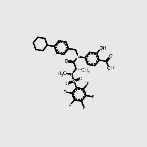 C[C@@H](C(=O)N(Cc1ccc(C2CCCCC2)cc1)c1ccc(C(=O)O)c(O)c1)N(C)S(=O)(=O)c1c(F)c(F)c(F)c(F)c1F